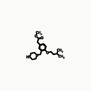 COC(=O)Cc1ccc(OCCC(C)C)c(CN2CCNCC2)c1